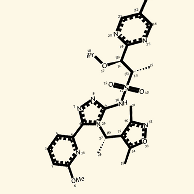 COc1cccc(-c2nnc(NS(=O)(=O)[C@@H](C)[C@@H](OC(C)C)c3ncc(C)cn3)n2[C@@H](C)c2c(C)noc2C)n1